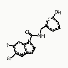 O=C(NCc1cccc(O)c1)n1ccc2cc(Br)c(F)cc21